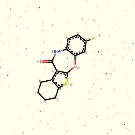 O=C1Nc2ccc(F)cc2Oc2sc3c(c21)CCCC3